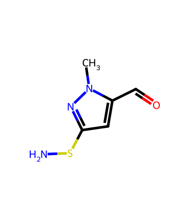 Cn1nc(SN)cc1C=O